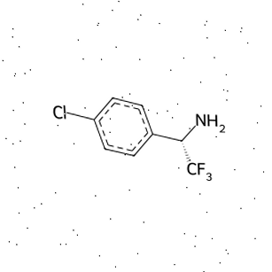 N[C@@H](c1ccc(Cl)cc1)C(F)(F)F